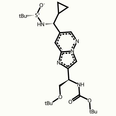 CC(C)(C)OC[C@H](NC(=O)OC(C)(C)C)c1cn2ncc([C@H](N[S@@+]([O-])C(C)(C)C)C3CC3)cc2n1